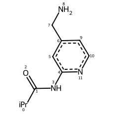 CC(C)C(=O)Nc1cc(CN)ccn1